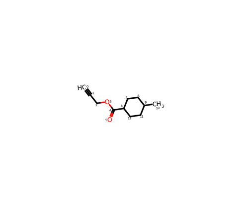 C#CCOC(=O)C1CCC(C)CC1